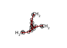 C=CC(=O)OCCCCCCCOc1ccc(C(=O)Oc2ccc(OC(=O)c3ccc(OCCCCCCCOC(=O)C=C)cc3)c(C(=O)OC(CC)Oc3ccc(OC(=O)c4ccc(OCCCCCCOC(=O)C=C)cc4)cc3)c2)cc1